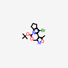 Cc1noc(C)c1-c1c(Br)c2c(n1C(=O)OC(C)(C)C)CCC2